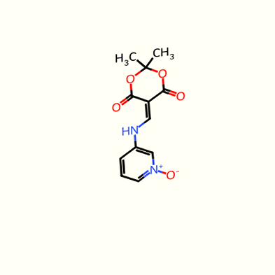 CC1(C)OC(=O)C(=CNc2ccc[n+]([O-])c2)C(=O)O1